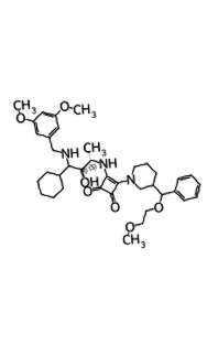 COCCOC(c1ccccc1)C1CCCN(c2c(N[C@@H](C)[C@@H](O)C(NCc3cc(OC)cc(OC)c3)C3CCCCC3)c(=O)c2=O)C1